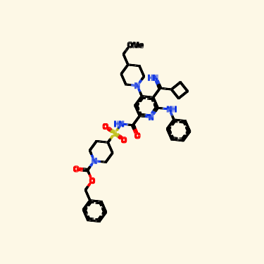 COCC1CCN(c2cc(C(=O)NS(=O)(=O)C3CCN(C(=O)OCc4ccccc4)CC3)nc(Nc3ccccc3)c2C(=N)C2CCC2)CC1